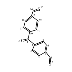 O=C(c1ccc(C=S)cc1)c1ccc(C=S)cc1